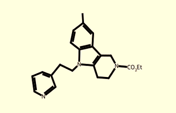 CCOC(=O)N1CCc2c(c3cc(C)ccc3n2CCc2cccnc2)C1